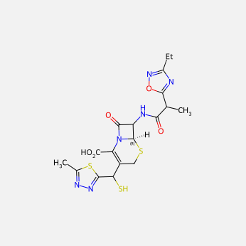 CCc1noc(C(C)C(=O)NC2C(=O)N3C(C(=O)O)=C(C(S)c4nnc(C)s4)CS[C@H]23)n1